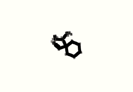 CN(C)C1(C=O)CCCCC1